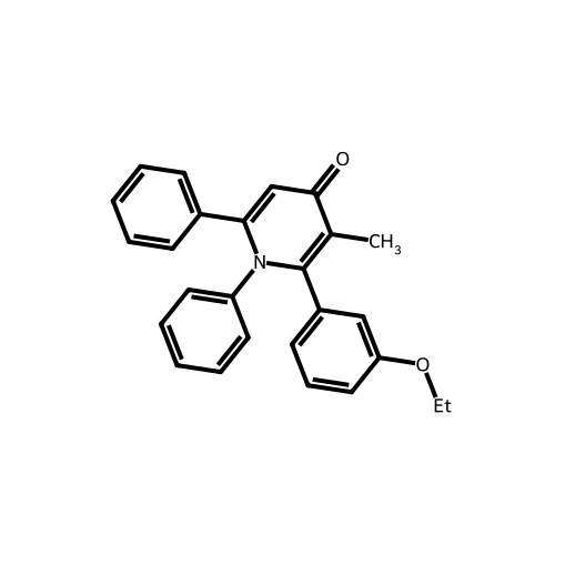 CCOc1cccc(-c2c(C)c(=O)cc(-c3ccccc3)n2-c2ccccc2)c1